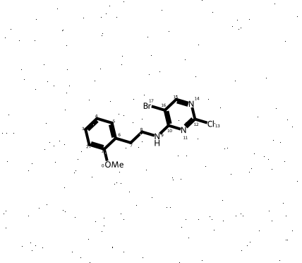 COc1ccccc1CCNc1nc(Cl)ncc1Br